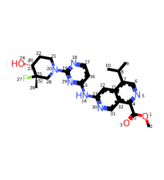 COC(=O)c1ncc(C(C)C)c2cc(Nc3ccnc(N4CC[C@@H](O)[C@@](C)(F)C4)n3)ncc12